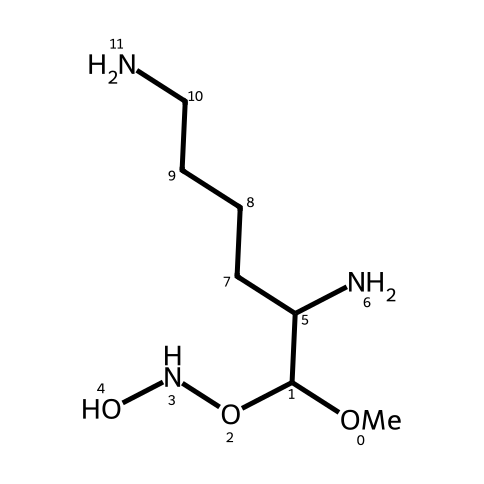 COC(ONO)C(N)CCCCN